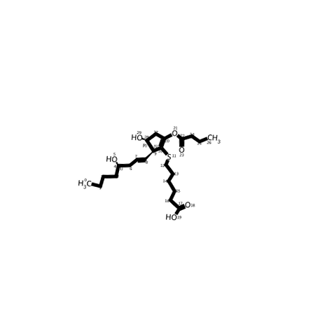 CCCC[C@H](O)CC=C[C@@H]1C(SCCCCCC(=O)O)=C(OC(=O)CCC)C[C@H]1O